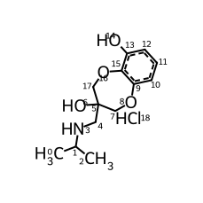 CC(C)NCC1(O)COc2cccc(O)c2OC1.Cl